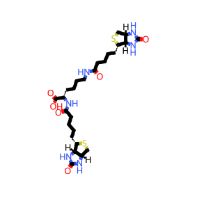 O=C(CCCC[C@@H]1SC[C@@H]2NC(=O)N[C@@H]21)NCCCC[C@H](NC(=O)CCCC[C@@H]1SC[C@@H]2NC(=O)N[C@@H]21)C(=O)O